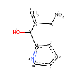 C=C(C[N+](=O)[O-])C(O)c1ccccn1